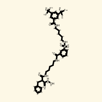 O=C(NCCCCCNC(=O)C(Cc1ccccc1)C(=O)NO)c1cccc(S(=O)(=O)NCCCCCNC(=O)c2cc(C(F)(F)F)cc(C(F)(F)F)c2)c1